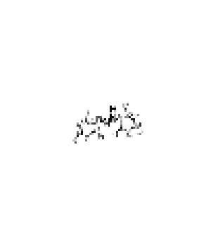 Cc1cc(C)c(N=NNc2c(C)cc(C)cc2C)c(C)c1